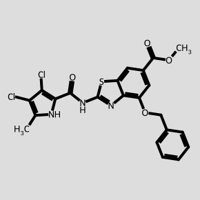 COC(=O)c1cc(OCc2ccccc2)c2nc(NC(=O)c3[nH]c(C)c(Cl)c3Cl)sc2c1